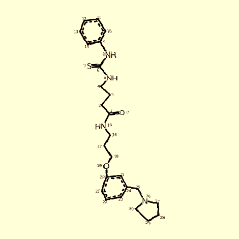 O=C(CCCNC(=S)Nc1ccccc1)NCCCOc1cccc(CN2CCCC2)c1